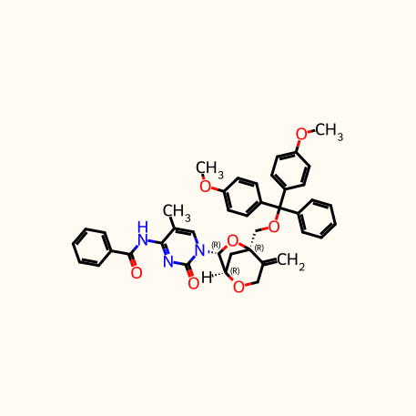 C=C1CO[C@@H]2C[C@@]1(COC(c1ccccc1)(c1ccc(OC)cc1)c1ccc(OC)cc1)O[C@H]2n1cc(C)c(NC(=O)c2ccccc2)nc1=O